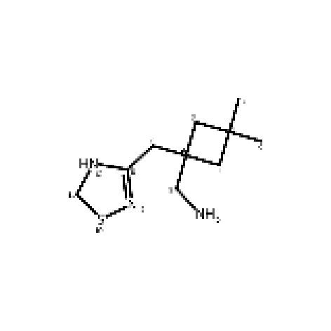 CC1(C)CC(CN)(CC2=NSCN2)C1